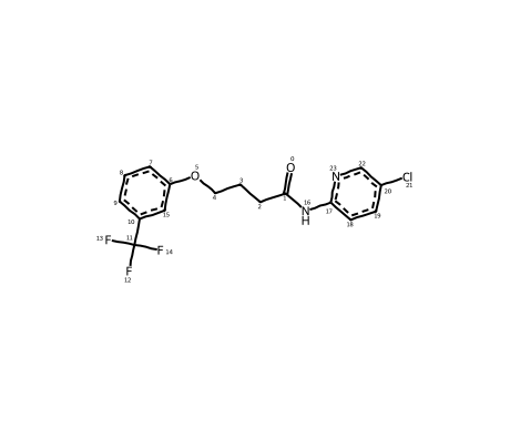 O=C(CCCOc1cccc(C(F)(F)F)c1)Nc1ccc(Cl)cn1